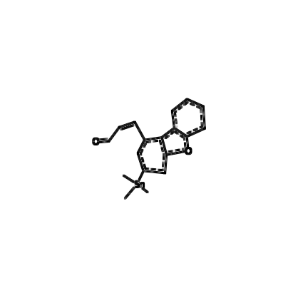 [CH3][Sn]([CH3])([CH3])[c]1cc(/C=C\C=O)c2c(c1)oc1ccccc12